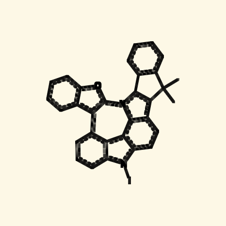 CC1(C)c2ccccc2-c2c1c1ccc3c4c5c(cccc5n3I)c3c5ccccc5oc3n2c14